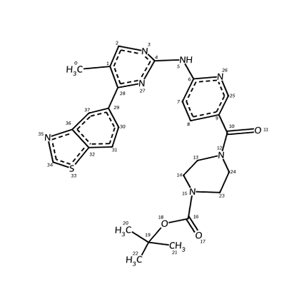 Cc1cnc(Nc2ccc(C(=O)N3CCN(C(=O)OC(C)(C)C)CC3)cn2)nc1-c1ccc2scnc2c1